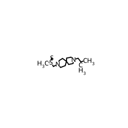 CC(C)CN1CCC2(CC1)CCN(CS(C)=S)CC2